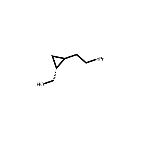 CCCCCC1C[C@H]1CO